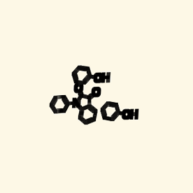 O=C1C(=O)N(c2ccccc2)c2ccccc21.Oc1ccccc1.Oc1ccccc1